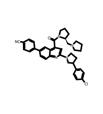 N#Cc1ccc(-c2ccc3nc(N4CCC(c5ccc(Cl)cc5)C4)cc(C(=O)N4CCC[C@H]4CN4CCCC4)c3c2)cc1